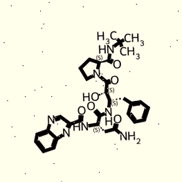 CC(C)(C)NC(=O)[C@@H]1CCCN1C(=O)[C@@H](O)[C@H](Cc1ccccc1)NC(=O)[C@H](CC(N)=O)NC(=O)c1cnc2ccccc2n1